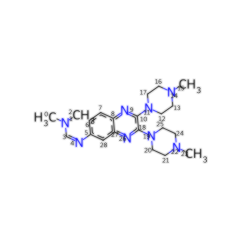 CN(C)/C=N\c1ccc2nc(N3CCN(C)CC3)c(N3CCN(C)CC3)nc2c1